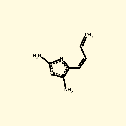 C=C/C=C\c1nc(N)sc1N